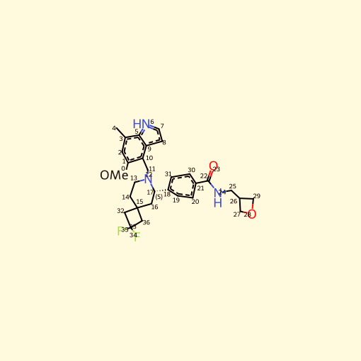 COc1cc(C)c2[nH]ccc2c1CN1CCC2(C[C@H]1c1ccc(C(=O)NCC3COC3)cc1)CC(F)(F)C2